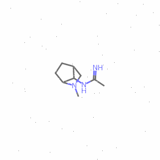 CC(=N)NC1C2CCC1N(C)C2